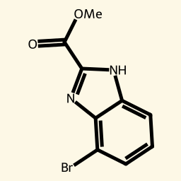 COC(=O)c1nc2c(Br)cccc2[nH]1